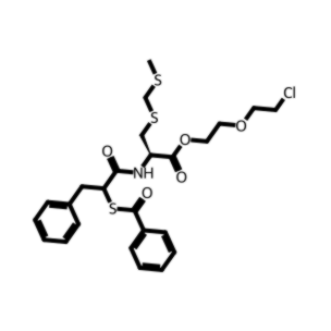 CSCSC[C@H](NC(=O)C(Cc1ccccc1)SC(=O)c1ccccc1)C(=O)OCCOCCCl